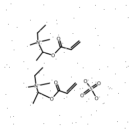 C=CC(=O)OC(C)[N+](C)(C)CC.C=CC(=O)OC(C)[N+](C)(C)CC.O=S(=O)([O-])[O-]